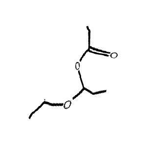 C[CH]OC(C)OC(C)=O